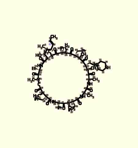 C/C=C/C[C@@H](C)[C@@H](O)[C@H]1C(=O)N[C@@H](CC)C(=O)N(C)CC(=O)N(C)[C@@H](CC(C)C)C(=O)N[C@@H](C(C)C)C(=O)N(C)[C@@H](CC(C)C)C(=O)N[C@@H](C)C(=O)N[C@H](C)C(=O)N(C)[C@@H](CC(C)C)C(=O)N(C)[C@@H](CC(C)C)C(=O)N(C)[C@@H](C(C)C)C(=O)N1C.C1COCCN1